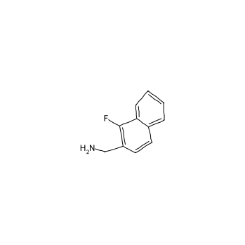 NCc1ccc2ccccc2c1F